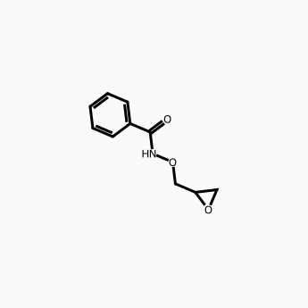 O=C(NOCC1CO1)c1ccccc1